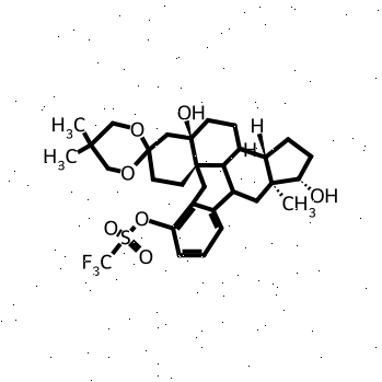 CC1(C)COC2(CC[C@@]34Cc5c(OS(=O)(=O)C(F)(F)F)cccc5C5C[C@]6(C)[C@@H](O)CC[C@H]6[C@H](CC[C@@]3(O)C2)C54)OC1